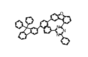 c1ccc(-c2nc(-c3ccccc3)nc(-c3cccc4oc5ccc(-c6ccc(-c7ccc8c(c7)C(c7ccccc7)(c7ccccc7)c7ccccc7-8)cc6)cc5c34)n2)cc1